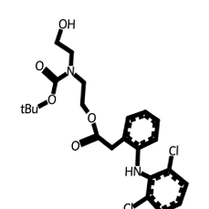 CC(C)(C)OC(=O)N(CCO)CCOC(=O)Cc1ccccc1Nc1c(Cl)cccc1Cl